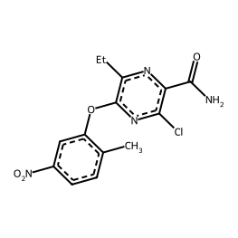 CCc1nc(C(N)=O)c(Cl)nc1Oc1cc([N+](=O)[O-])ccc1C